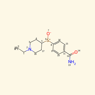 CC(C)CN1CCC([S+]([O-])c2ccc(C(N)=O)cc2)CC1